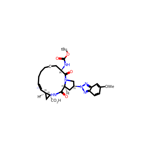 COc1ccc2nn([C@H]3C[C@H]4C(=O)N[C@@]5(C(=O)O)C[C@H]5/C=C\CCCCC[C@@H](NC(=O)OC(C)(C)C)C(=O)N4C3)nc2c1